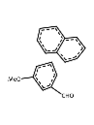 COc1cccc(C=O)c1.c1ccc2ccccc2c1